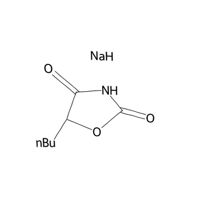 CCCCC1OC(=O)NC1=O.[NaH]